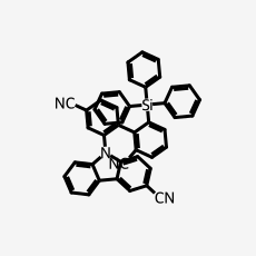 N#Cc1ccc(-c2c(C#N)cccc2[Si](c2ccccc2)(c2ccccc2)c2ccccc2)c(-n2c3ccccc3c3cc(C#N)ccc32)c1